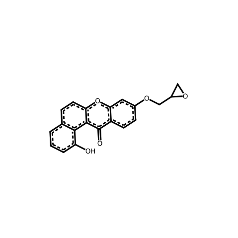 O=c1c2ccc(OCC3CO3)cc2oc2ccc3cccc(O)c3c12